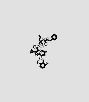 CCCC(C)(CNC(=O)c1c(C2CC2)nc2c(OCc3c(F)cccc3F)cc(C)cn12)NC(=O)OCc1ccccc1